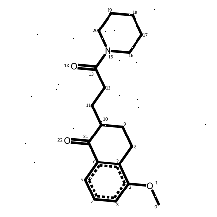 COc1cccc2c1CCC(CCC(=O)N1CCCCC1)C2=O